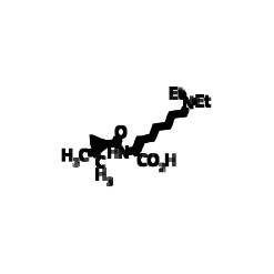 CCN(CC)CCCCCC=C(NC(=O)C1CC1(C)C)C(=O)O